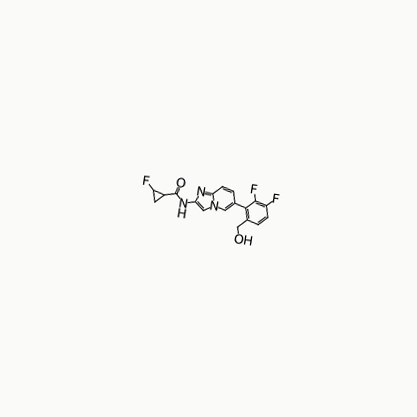 O=C(Nc1cn2cc(-c3c(CO)ccc(F)c3F)ccc2n1)C1CC1F